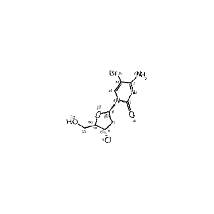 Nc1nc(=O)n([C@H]2C[C@H](Cl)[C@@H](CO)O2)cc1Br